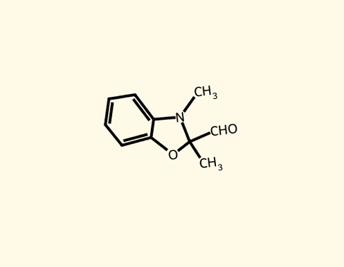 CN1c2ccccc2OC1(C)C=O